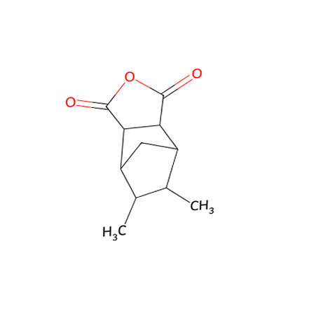 CC1C(C)C2CC1C1C(=O)OC(=O)C21